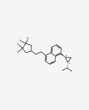 CC(C)[C@H]1C[C@@H]1c1cccc2c(CCN3CC(F)(F)C(F)(F)C3)cccc12